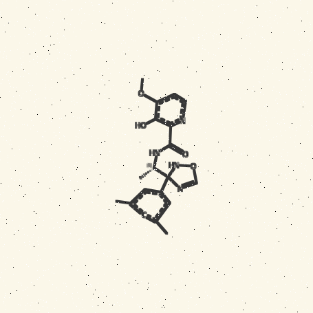 COc1ccnc(C(=O)N[C@@H](C)C2(c3cc(C)cc(C)c3)N=CON2)c1O